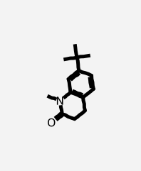 CN1C(=O)CCc2ccc(C(C)(C)C)cc21